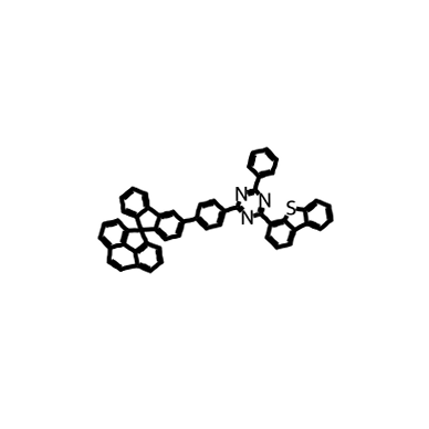 c1ccc(-c2nc(-c3ccc(-c4ccc5c(c4)-c4ccccc4C54c5cccc6ccc7cccc4c7c56)cc3)nc(-c3cccc4c3sc3ccccc34)n2)cc1